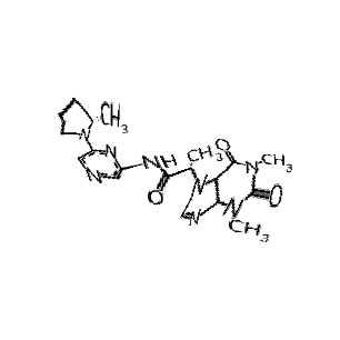 C[C@H]1CCCN1c1cncc(NC(=O)[C@H](C)N2C=NC3C2C(=O)N(C)C(=O)N3C)n1